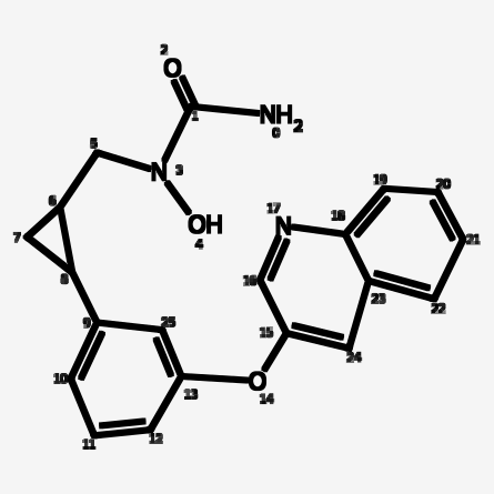 NC(=O)N(O)CC1CC1c1cccc(Oc2cnc3ccccc3c2)c1